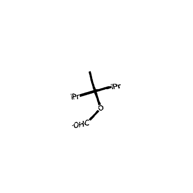 CC(C)C(C)(O[C]=O)C(C)C